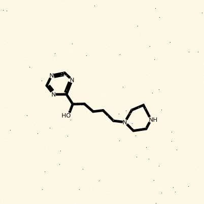 OC(CCCCN1CCNCC1)c1ncncn1